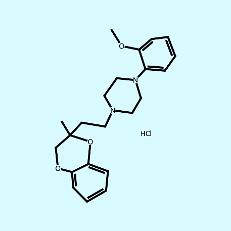 COc1ccccc1N1CCN(CCC2(C)COc3ccccc3O2)CC1.Cl